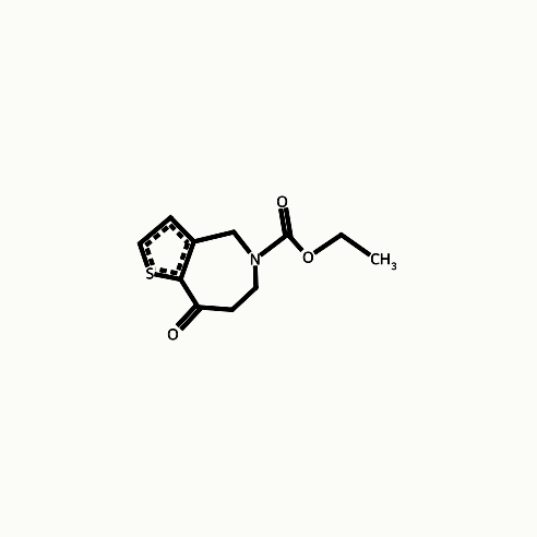 CCOC(=O)N1CCC(=O)c2sccc2C1